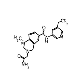 C[C@H]1CN(CC(N)=O)Cc2cc(C(=O)Nc3cncc(CC(F)(F)F)c3)ccc21